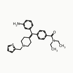 CCN(CC)C(=O)c1ccc(C(=C2CCN(Cc3cccs3)CC2)c2cccc(N)c2)cc1